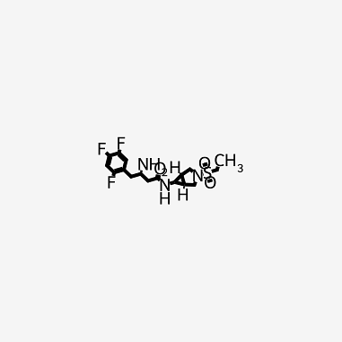 CCS(=O)(=O)N1C[C@@H]2C(NC(=O)C[C@H](N)Cc3cc(F)c(F)cc3F)[C@@H]2C1